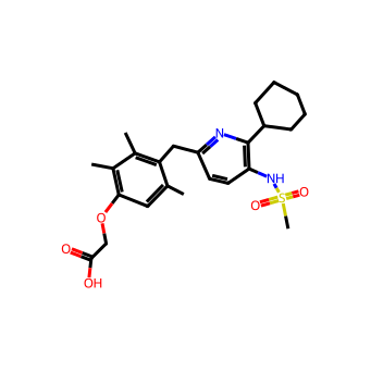 Cc1cc(OCC(=O)O)c(C)c(C)c1Cc1ccc(NS(C)(=O)=O)c(C2CCCCC2)n1